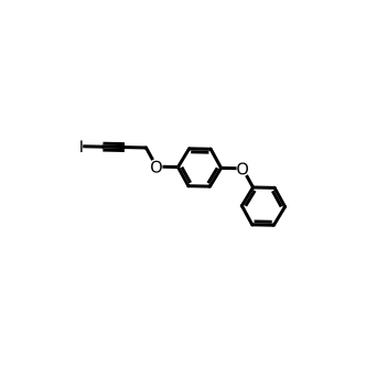 IC#CCOc1ccc(Oc2ccccc2)cc1